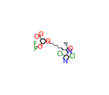 COC(=O)c1cc(OCCCCC/C=C/c2c(-c3c(Cl)cncc3Cl)noc2C2CC2)cc(OC(F)F)c1